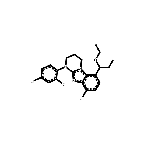 CCOC(CC)c1ccc(Cl)c2nc3n(c12)CCCN3c1ccc(Cl)cc1Cl